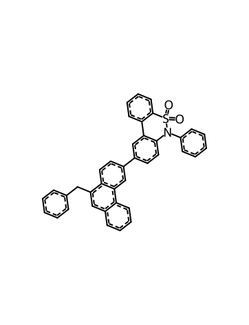 O=S1(=O)c2ccccc2-c2cc(-c3ccc4c(Cc5ccccc5)cc5ccccc5c4c3)ccc2N1c1ccccc1